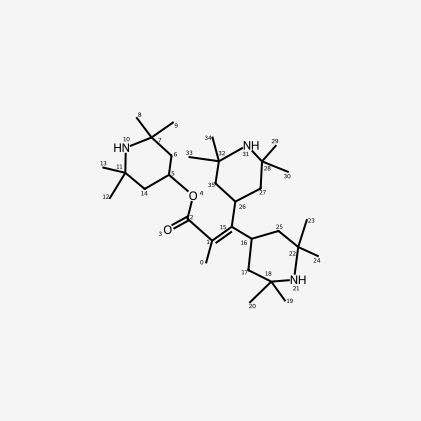 CC(C(=O)OC1CC(C)(C)NC(C)(C)C1)=C(C1CC(C)(C)NC(C)(C)C1)C1CC(C)(C)NC(C)(C)C1